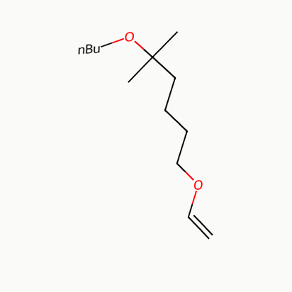 C=COCCCCC(C)(C)OCCCC